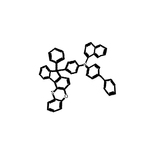 c1ccc(-c2ccc(N(c3ccc(C4(c5ccccc5)c5ccccc5-c5c4ccc4c5Sc5ccccc5O4)cc3)c3cccc4ccccc34)cc2)cc1